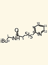 CCC(C)CNC(=O)CSSc1ccccn1